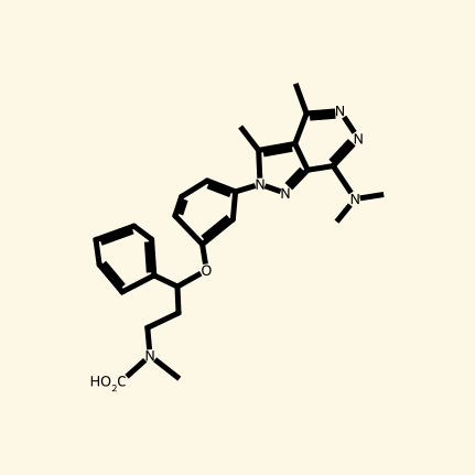 Cc1nnc(N(C)C)c2nn(-c3cccc(OC(CCN(C)C(=O)O)c4ccccc4)c3)c(C)c12